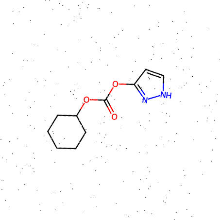 O=C(Oc1cc[nH]n1)OC1CCCCC1